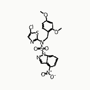 COc1ccc(CN(c2ncc(Cl)s2)S(=O)(=O)n2ncc3c([N+](=O)[O-])cccc32)c(OC)c1